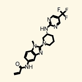 C=CC(=O)Nc1ccc2c(c1)nc(N1CCC[C@@H](Nc3ncc(C(F)(F)F)cn3)C1)n2C